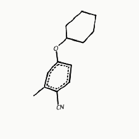 Cc1cc(OC2CCCCC2)ccc1C#N